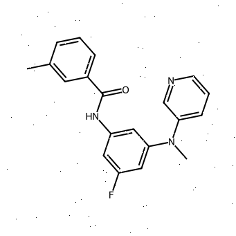 Cc1cccc(C(=O)Nc2cc(F)cc(N(C)c3cccnc3)c2)c1